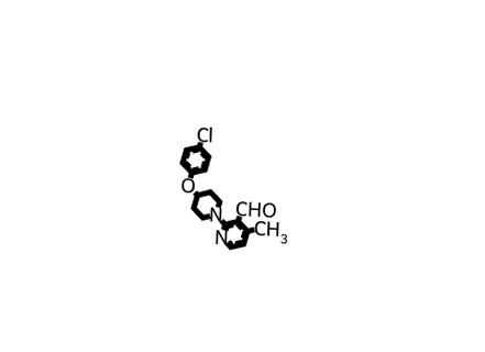 Cc1ccnc(N2CCC(Oc3ccc(Cl)cc3)CC2)c1C=O